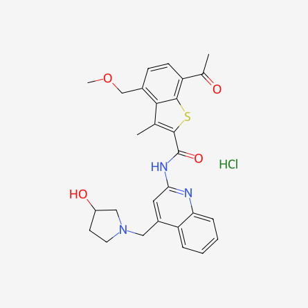 COCc1ccc(C(C)=O)c2sc(C(=O)Nc3cc(CN4CCC(O)C4)c4ccccc4n3)c(C)c12.Cl